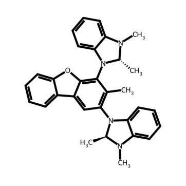 Cc1c(N2c3ccccc3N(C)[C@H]2C)cc2c(oc3ccccc32)c1N1c2ccccc2N(C)[C@@H]1C